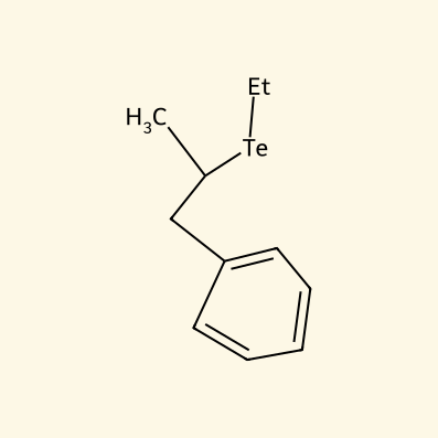 CC[Te]C(C)Cc1ccccc1